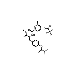 CCOC(=O)C(Cc1ccc(OC(=O)C(C)C)cc1)NC(=O)c1ccc[n+](C)c1.O=C([O-])C(F)(F)F